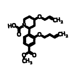 C=CCCOc1cc(C(=O)OC)ccc1C1CC(OCC=C)CCN1C(=O)O